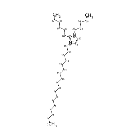 CCCCCCCCCCCCCCCCCC[n+]1ccn(CCCCC)c1CCCCCC